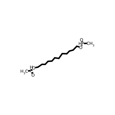 C[PH](=O)OCCCCCCCCCCCCO[PH](C)=O